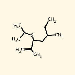 C=C(C)C(CC(C)CC)SC(C)C